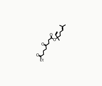 C=CC(C)(CCC=C(C)C)OC(=O)CCC(=O)CCCC(=O)CC